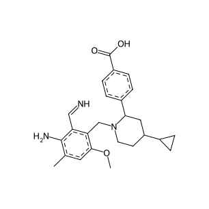 COc1cc(C)c(N)c(C=N)c1CN1CCC(C2CC2)CC1c1ccc(C(=O)O)cc1